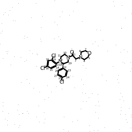 O=C(CN1CCOCC1)N1CCN(c2ccc(Cl)cc2Cl)[C@H](c2ccc(Cl)cc2)C1